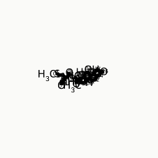 CSCCC(NC=O)C(=O)SCC(=O)[C@@]1(O)[C@@H](C)C[C@H]2[C@@H]3CCC4=CC(=O)C=C[C@]4(C)[C@@]3(F)[C@@H](O)C[C@@]21C